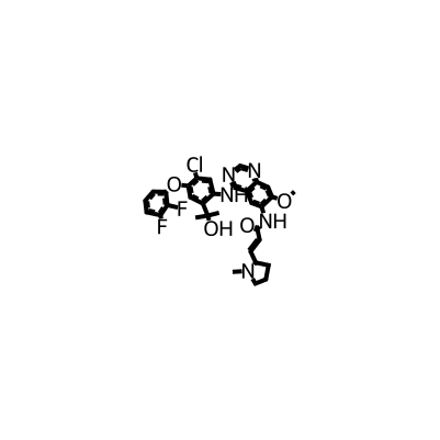 COc1cc2ncnc(Nc3cc(Cl)c(Oc4cccc(F)c4F)cc3C(C)(C)O)c2cc1NC(=O)C=CC1CCCN1C